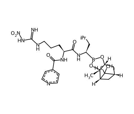 CC(C)C[C@H](NC(=O)[C@H](CCCNC(=N)N[N+](=O)[O-])NC(=O)c1ccncc1)B1O[C@@H]2C[C@@H]3C[C@@H](C3(C)C)[C@]2(C)O1